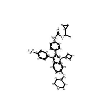 CC(OC(=O)Nc1ccc(-c2c(-c3ccc(C(F)(F)F)cc3)c3ccc(OC4CCOCC4)cc3n2C2CCC2)cc1)C1CC1